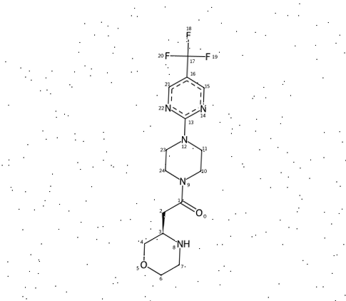 O=C(C[C@@H]1COCCN1)N1CCN(c2ncc(C(F)(F)F)cn2)CC1